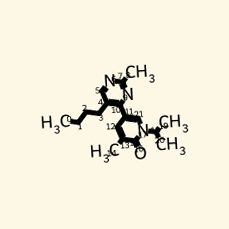 CCCCc1cnc(C)nc1-c1cc(C)c(=O)n(C(C)C)c1